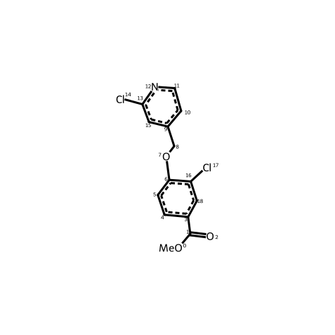 COC(=O)c1ccc(OCc2ccnc(Cl)c2)c(Cl)c1